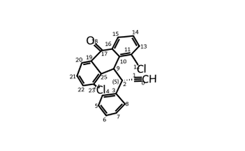 C#C[C@H](c1ccccc1)C1c2c(Cl)cccc2C(=O)c2cccc(Cl)c21